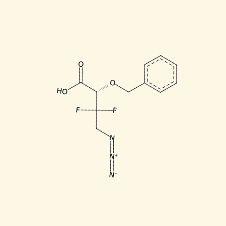 [N-]=[N+]=NCC(F)(F)[C@@H](OCc1ccccc1)C(=O)O